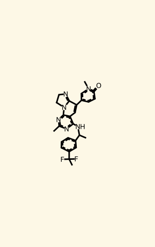 Cc1nc(NC(C)c2cccc(C(C)(F)F)c2)c2c(n1)N1CCN=C1C(c1ccc(=O)n(C)c1)=C2